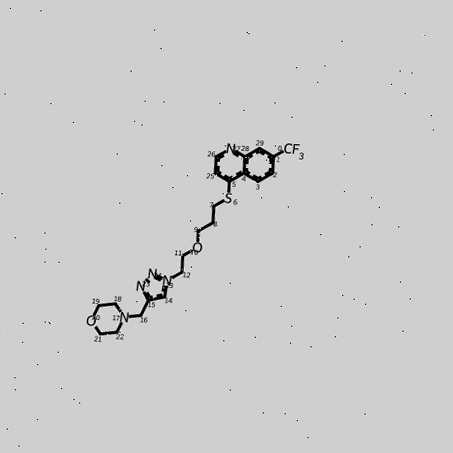 FC(F)(F)c1ccc2c(SCCCOCCn3cc(CN4CCOCC4)nn3)ccnc2c1